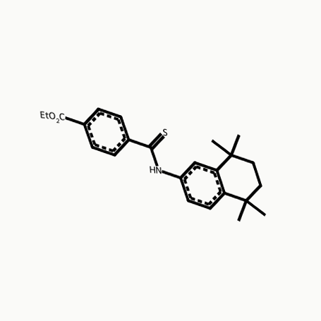 CCOC(=O)c1ccc(C(=S)Nc2ccc3c(c2)C(C)(C)CCC3(C)C)cc1